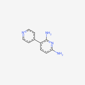 Nc1ccc(-c2ccncc2)c(N)n1